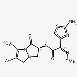 CO/N=C(\C(=O)N[C@H]1CN2CC(C(C)=O)=C(C(=O)O)N2C1=O)c1csc(N)n1